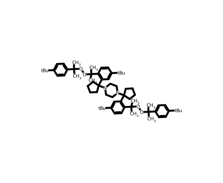 CC(C)(C)c1ccc(C(C)(C)OOC(C)(C)c2ccc(C(C)(C)C)cc2C2(N3CCN(C4(c5cc(C(C)(C)C)ccc5C(C)(C)OOC(C)(C)c5ccc(C(C)(C)C)cc5)CCCC4)CC3)CCCC2)cc1